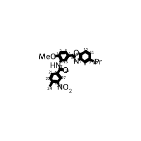 COc1ccc(-c2nc3cc(C(C)C)ccc3o2)cc1NC(=O)c1ccc(C)c([N+](=O)[O-])c1